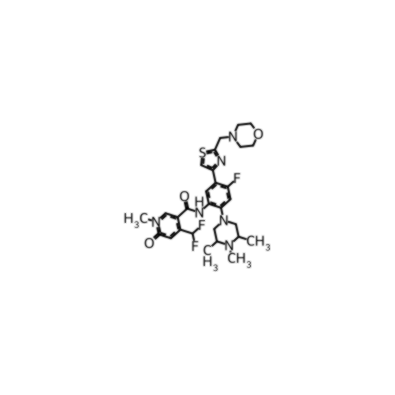 CC1CN(c2cc(F)c(-c3csc(CN4CCOCC4)n3)cc2NC(=O)c2cn(C)c(=O)cc2C(F)F)CC(C)N1C